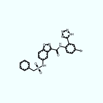 O=C(Nc1ccc(Br)cc1-c1nnn[nH]1)c1noc2ccc(NS(=O)(=O)Cc3ccccc3)cc12